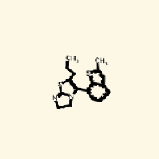 CCCC1=C(c2cccc3cc(C)sc23)N2CCN=C2S1